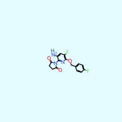 Nc1cc(F)c(OCc2ccc(F)cc2)nc1N1C(=O)CCC1=O